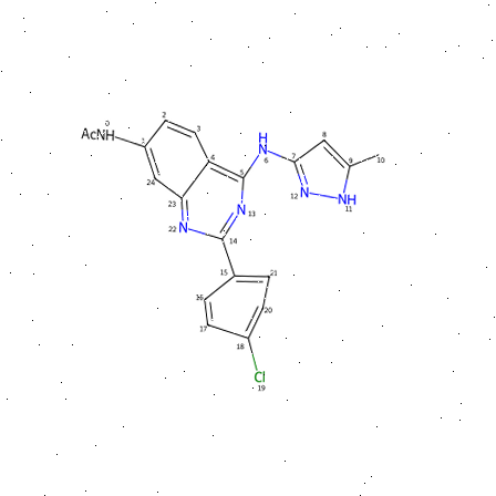 CC(=O)Nc1ccc2c(Nc3cc(C)[nH]n3)nc(-c3ccc(Cl)cc3)nc2c1